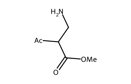 COC(=O)C(CN)C(C)=O